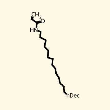 C=CC(=O)NCCCCCCCCCCCCCCCCCCCCCCCC